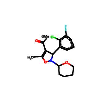 COC(=O)C1=C(C)ON(C2CCCCO2)C1c1cccc(F)c1Cl